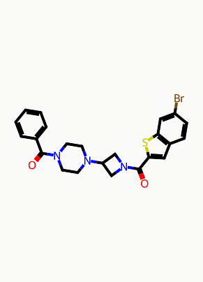 O=C(c1ccccc1)N1CCN(C2CN(C(=O)c3cc4ccc(Br)cc4s3)C2)CC1